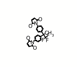 CC(c1ccc(N2C(=O)C=CC2=O)cc1)(c1ccc(N2C(=O)C=CC2=O)cc1)C(F)(F)F